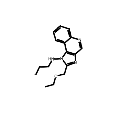 [CH2]CCNn1c(COCC)nc2cnc3ccccc3c21